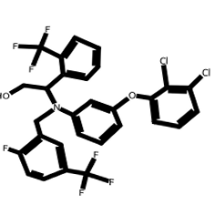 OCC(c1ccccc1C(F)(F)F)N(Cc1cc(C(F)(F)F)ccc1F)c1cccc(Oc2cccc(Cl)c2Cl)c1